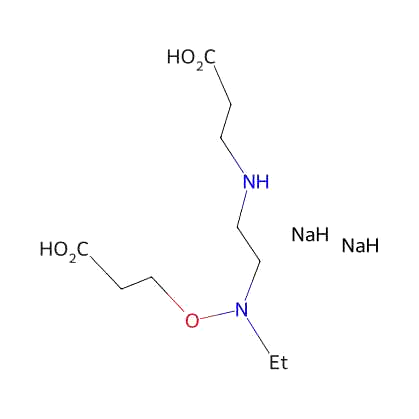 CCN(CCNCCC(=O)O)OCCC(=O)O.[NaH].[NaH]